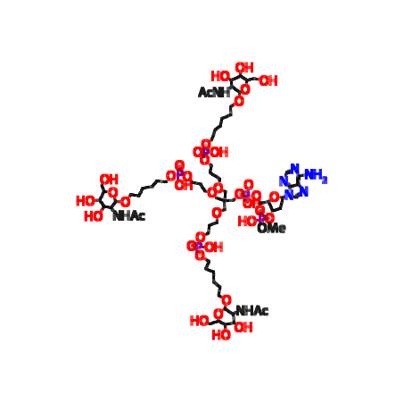 COP(=O)(O)O[C@H]1C[C@H](n2cnc3c(N)ncnc32)O[C@@H]1COP(=O)(O)OCC(COCCCOP(=O)(O)OCCCCCCO[C@@H]1OC(CO)[C@H](O)C(O)[C@@H]1NC(C)=O)(COCCCOP(=O)(O)OCCCCCCO[C@@H]1OC(CO)[C@H](O)C(O)[C@@H]1NC(C)=O)COCCCOP(=O)(O)OCCCCCCO[C@@H]1OC(CO)[C@H](O)C(O)[C@@H]1NC(C)=O